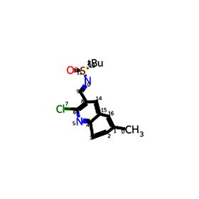 Cc1ccc2nc(Cl)c(C=N[S@+]([O-])C(C)(C)C)cc2c1